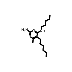 CCCCCCc1c(C)nc(N)nc1NCCCCC